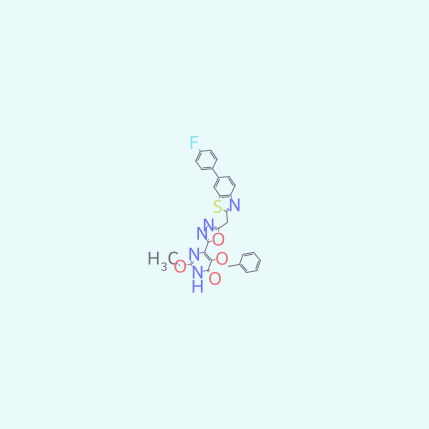 COc1nc(-c2nnc(Cc3nc4ccc(-c5ccc(F)cc5)cc4s3)o2)c(OCc2ccccc2)c(=O)[nH]1